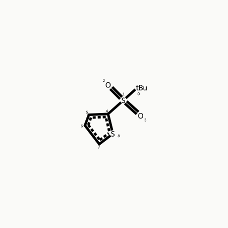 CC(C)(C)S(=O)(=O)c1cccs1